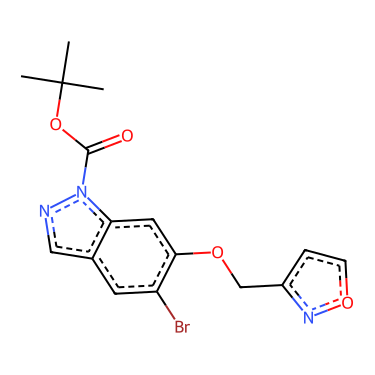 CC(C)(C)OC(=O)n1ncc2cc(Br)c(OCc3ccon3)cc21